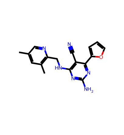 Cc1cnc(CNc2nc(N)nc(-c3ccco3)c2C#N)c(C)c1